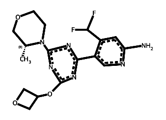 C[C@@H]1COCCN1c1nc(OC2COC2)nc(-c2cnc(N)cc2C(F)F)n1